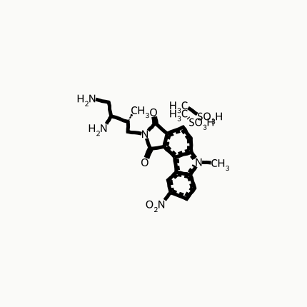 CS(=O)(=O)O.CS(=O)(=O)O.C[C@H](CN1C(=O)c2ccc3c(c2C1=O)c1cc([N+](=O)[O-])ccc1n3C)C(N)CN